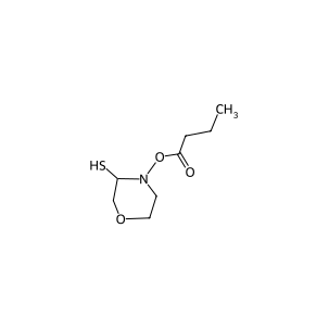 CCCC(=O)ON1CCOCC1S